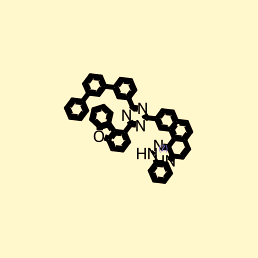 N=C1C=Cc2ccc3ccc(-c4nc(-c5cccc(-c6cccc(-c7ccccc7)c6)c5)nc(-c5cccc6oc7ccccc7c56)n4)cc3c2/C1=N/Nc1ccccc1